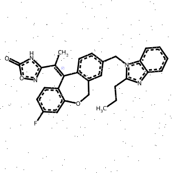 CCCc1nc2ccccc2n1Cc1ccc2c(c1)COc1cc(F)ccc1/C2=C(/C)c1noc(=O)[nH]1